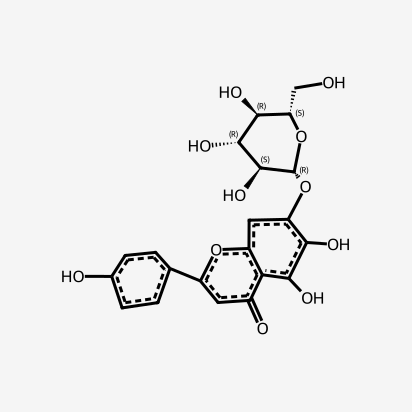 O=c1cc(-c2ccc(O)cc2)oc2cc(O[C@H]3O[C@@H](CO)[C@H](O)[C@@H](O)[C@@H]3O)c(O)c(O)c12